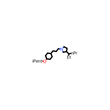 CCCC(C)OC1CCC(CCCN2CCC(C(CC)CCC)C2)CC1